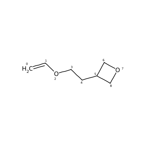 C=COCCC1COC1